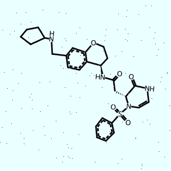 O=C(C[C@@H]1C(=O)NC=CN1S(=O)(=O)c1ccccc1)N[C@@H]1CCOc2cc(CNC3CCCC3)ccc21